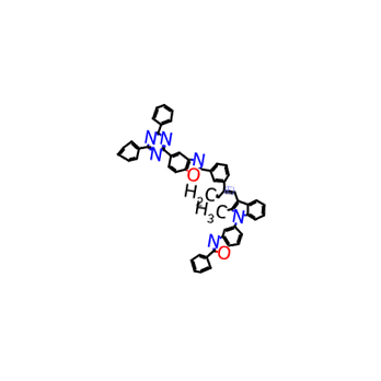 C=C/C(=C\c1c(C)n(-c2ccc3oc(-c4ccccc4)nc3c2)c2ccccc12)c1cccc(-c2nc3cc(-c4nc(-c5ccccc5)nc(-c5ccccc5)n4)ccc3o2)c1